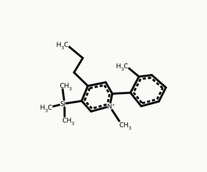 CCCc1cc(-c2ccccc2C)[n+](C)cc1[Si](C)(C)C